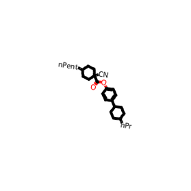 CCCCCC1CCC(C#N)(C(=O)Oc2ccc(C3CCC(CCC)CC3)cc2)CC1